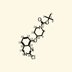 CC(C)(C)OC(=O)N1CCC(Oc2cccc3cnc(Cl)nc23)CC1